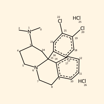 CN(C)C1CCN2CCc3ccccc3C2(c2ccc(Cl)c(Cl)c2)C1.Cl.Cl